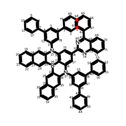 c1ccc(-c2cc(-c3ccccc3)cc(N3c4cc5ccccc5cc4B4c5cc6ccccc6cc5N(c5cc(-c6ccccc6)cc(-c6ccccc6)c5)c5cc(-c6nc(-c7ccccc7)c7ccccc7n6)cc3c54)c2)cc1